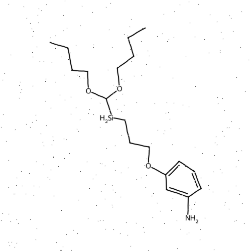 CCCCOC(OCCCC)[SiH2]CCCOc1cccc(N)c1